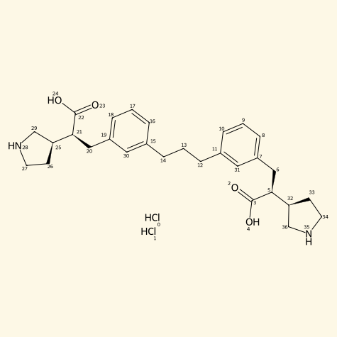 Cl.Cl.O=C(O)[C@@H](Cc1cccc(CCCc2cccc(C[C@H](C(=O)O)[C@H]3CCNC3)c2)c1)[C@H]1CCNC1